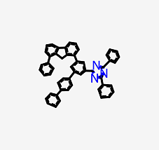 c1ccc(-c2ccc(-c3cc(-c4nc(-c5ccccc5)nc(-c5ccccc5)n4)cc(-c4cccc5c4Cc4c(-c6ccccc6)cccc4-5)c3)cc2)cc1